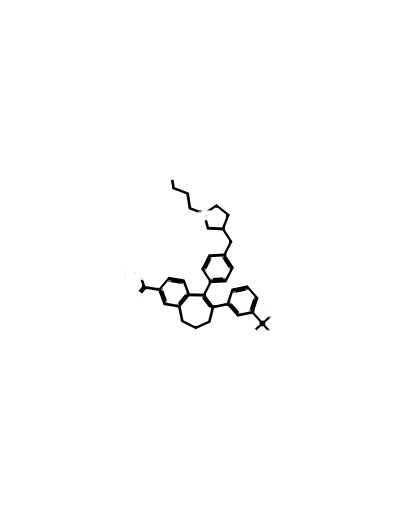 O=C(O)c1ccc2c(c1)CCCC(c1cccc(C(F)(F)F)c1)=C2c1ccc(CC2CCN(CCCF)C2)cc1